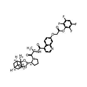 C[C@@H](NC(=O)c1ccnc2cc(OCC(=O)Oc3c(F)c(F)cc(F)c3F)ccc12)C(=O)N1CCC[C@H]1B1OC2C[C@H]3C[C@H](C3(C)C)[C@]2(C)O1